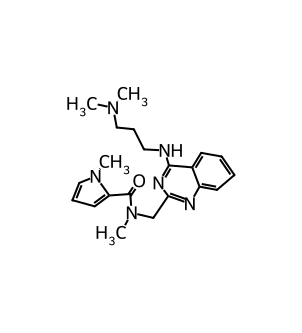 CN(C)CCCNc1nc(CN(C)C(=O)c2cccn2C)nc2ccccc12